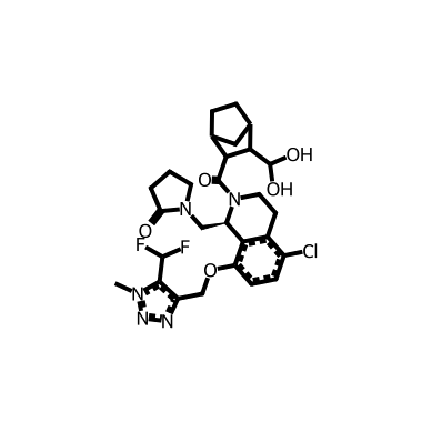 Cn1nnc(COc2ccc(Cl)c3c2[C@@H](CN2CCCC2=O)N(C(=O)C2C4CCC(C4)C2C(O)O)CC3)c1C(F)F